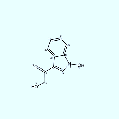 O=C(CO)c1cn(O)c2ccccc12